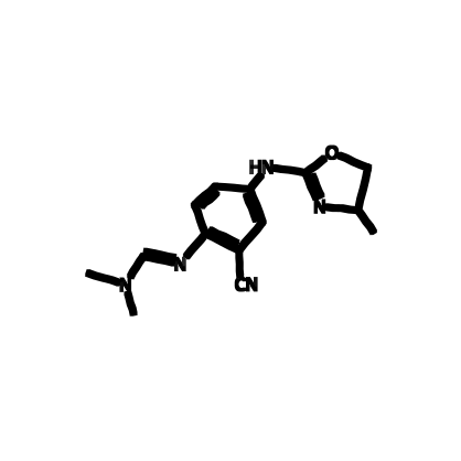 CC1COC(Nc2ccc(N=CN(C)C)c(C#N)c2)=N1